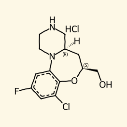 Cl.OC[C@@H]1C[C@@H]2CNCCN2c2cc(F)cc(Cl)c2O1